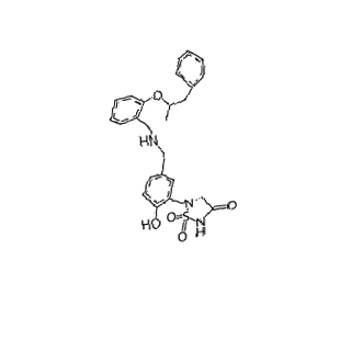 CC(Cc1ccccc1)Oc1ccccc1CNCc1ccc(O)c(N2CC(=O)NS2(=O)=O)c1